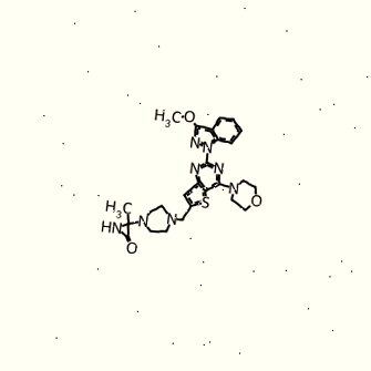 COc1nn(-c2nc(N3CCOCC3)c3sc(CN4CCN(C5(C)NC5=O)CC4)cc3n2)c2ccccc12